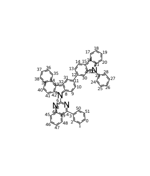 c1ccc(-c2nc(-n3c4ccc(-c5ccc6c7ccccc7n(-c7ccccc7)c6c5)cc4c4c5ccccc5ccc43)nc3ccccc23)cc1